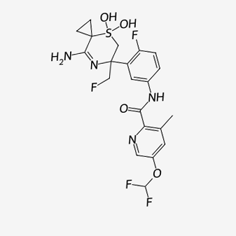 Cc1cc(OC(F)F)cnc1C(=O)Nc1ccc(F)c(C2(CF)CS(O)(O)C3(CC3)C(N)=N2)c1